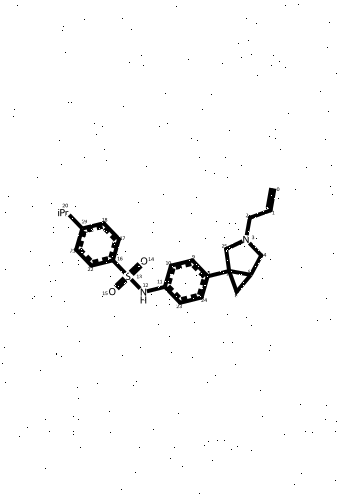 C=CCN1CC2CC2(c2ccc(NS(=O)(=O)c3ccc(C(C)C)cc3)cc2)C1